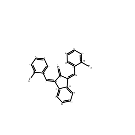 O=C1C(=Cc2ccccc2F)c2ccccc2C1=Cc1ccccc1F